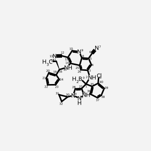 BC(Nc1cc(C#N)c2ncc(C#N)c(N[C@H](CC)c3ccccc3)c2c1)(C1=CN(C2CC2)NN1)c1ccccc1Cl